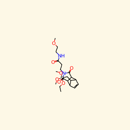 CCO[Si](CC1C2C=CC1C1C(=O)N(CCC(=O)NCCOC)C(=O)C21)(OC)OC